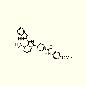 COc1ccc(NC(=O)N2CCC(c3nc(-c4cc5ccccc5[nH]4)c4c(N)nccn34)CC2)cc1